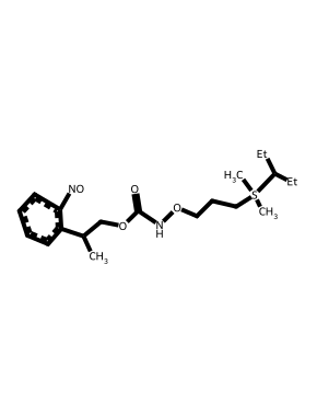 CCC(CC)S(C)(C)CCCONC(=O)OCC(C)c1ccccc1N=O